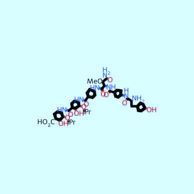 COC(C(N)=O)C(NC(=O)c1ccc(NC(=O)C(N)Cc2ccc(O)cc2)cc1)C(=O)Nc1ccc(C(=O)Nc2ccc(C(=O)Nc3ccc(C(=O)O)c(O)c3OC(C)C)c(O)c2OC(C)C)cc1